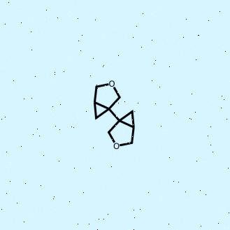 [CH]1C2COCC12C12COCC1C2